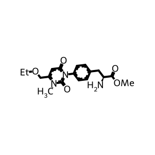 CCOCc1cc(=O)n(-c2ccc(C[C@H](N)C(=O)OC)cc2)c(=O)n1C